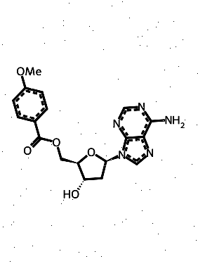 COc1ccc(C(=O)OC[C@H]2O[C@@H](n3cnc4c(N)ncnc43)C[C@@H]2O)cc1